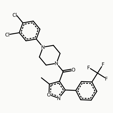 Cc1onc(-c2cccc(C(F)(F)F)c2)c1C(=O)N1CCN(c2ccc(Cl)c(Cl)c2)CC1